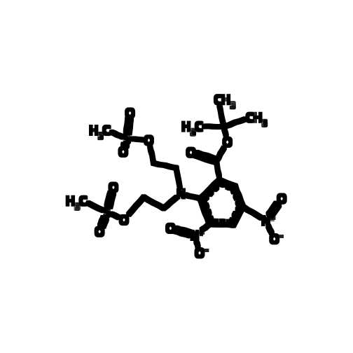 CC(C)(C)OC(=O)c1cc([N+](=O)[O-])cc([N+](=O)[O-])c1N(CCOS(C)(=O)=O)CCOS(C)(=O)=O